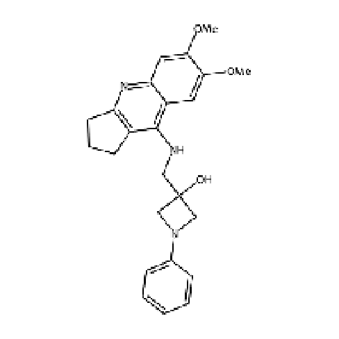 COc1cc2nc3c(c(NCC4(O)CN(c5ccccc5)C4)c2cc1OC)CCC3